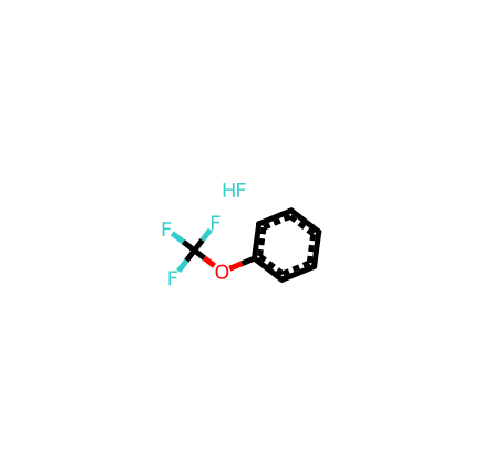 F.FC(F)(F)Oc1ccccc1